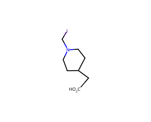 O=C(O)CC1CCN(CI)CC1